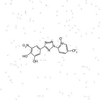 O=[N+]([O-])c1cc(-c2nnn(-c3ccc(C(F)(F)F)c[n+]3[O-])n2)cc(O)c1O